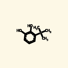 C[Si](C)(C)c1cccc(O)c1O